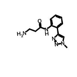 Cn1cc(-c2ccccc2NC(=O)CCN)nn1